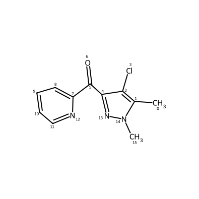 Cc1c(Cl)c(C(=O)c2ccccn2)nn1C